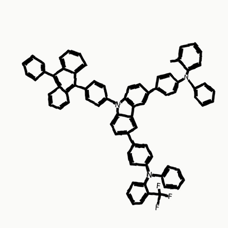 Cc1ccccc1N(c1ccccc1)c1ccc(-c2ccc3c(c2)c2cc(-c4ccc(N(c5ccccc5)c5ccccc5C(F)(F)F)cc4)ccc2n3-c2ccc(-c3c4ccccc4c(-c4ccccc4)c4ccccc34)cc2)cc1